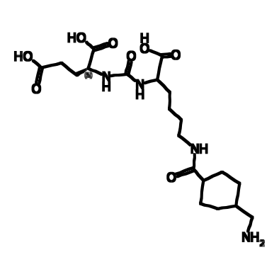 NCC1CCC(C(=O)NCCCCC(NC(=O)N[C@@H](CCC(=O)O)C(=O)O)C(=O)O)CC1